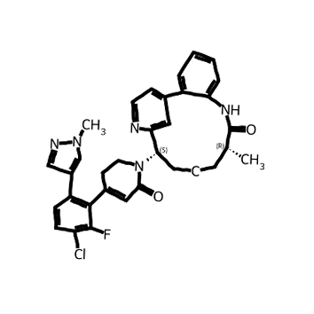 C[C@@H]1CCC[C@H](N2CCC(c3c(-c4cnn(C)c4)ccc(Cl)c3F)=CC2=O)c2cc(ccn2)-c2ccccc2NC1=O